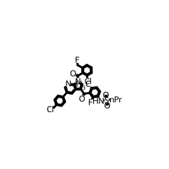 CCCS(=O)(=O)Nc1ccc(C)c(C(=O)c2cn(C(=O)c3c(Cl)cccc3CF)c3ncc(-c4ccc(Cl)cc4)cc23)c1F